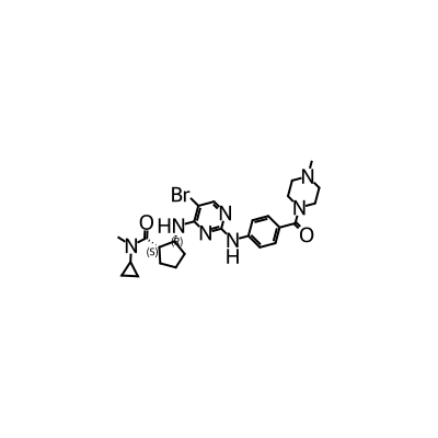 CN1CCN(C(=O)c2ccc(Nc3ncc(Br)c(N[C@@H]4CCC[C@@H]4C(=O)N(C)C4CC4)n3)cc2)CC1